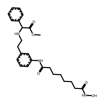 COC(=O)C(NCCc1cccc(NC(=O)CCCCCCC(=O)NO)c1)c1ccccc1